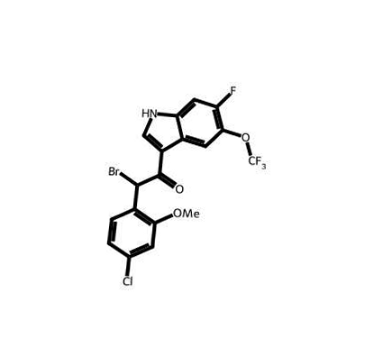 COc1cc(Cl)ccc1C(Br)C(=O)c1c[nH]c2cc(F)c(OC(F)(F)F)cc12